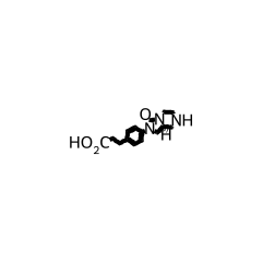 O=C(O)CCc1ccc(N2C[C@@H]3CNCCN3C2=O)cc1